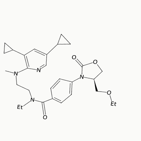 CCOC[C@@H]1COC(=O)N1c1ccc(C(=O)N(CC)CCN(C)c2ncc(C3CC3)cc2C2CC2)cc1